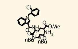 CCCC[C@@H](CC(N)=O)N(CCCC)C(=O)[C@H](CCCC(=O)OC)NC(=O)c1cn(Cc2ccccc2Cl)c2ccccc12